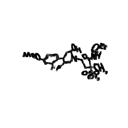 CCONC(=O)C(C)(CCN1C=C(F)C(c2ccc(OC)cc2F)=CC1O)S(C)(=O)=O